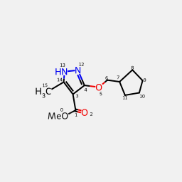 COC(=O)c1c(OCC2CCCC2)n[nH]c1C